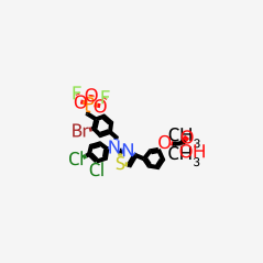 CC(C)(Oc1cccc(-c2csc(N(Cc3ccc(CP(=O)(OF)OF)c(Br)c3)c3ccc(Cl)c(Cl)c3)n2)c1)C(=O)O